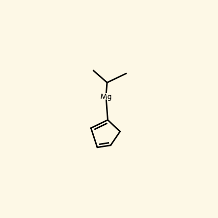 C[CH](C)[Mg][C]1=CC=CC1